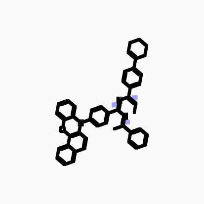 C\C=C(/N=C(\N=C(/C)c1ccccc1)c1ccc(N2c3ccccc3Oc3c2ccc2ccccc32)cc1)c1ccc(C2=CCCCC2)cc1